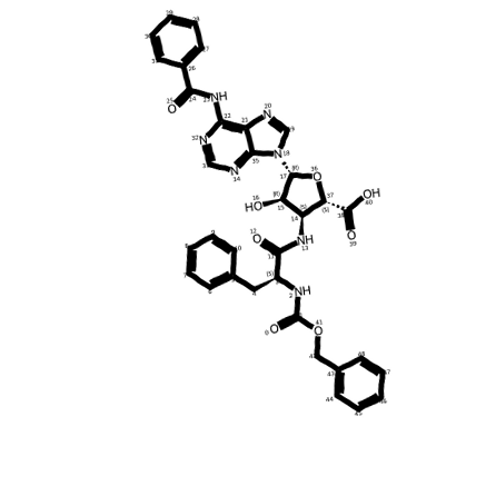 O=C(N[C@@H](Cc1ccccc1)C(=O)N[C@H]1[C@@H](O)[C@H](n2cnc3c(NC(=O)c4ccccc4)ncnc32)O[C@@H]1C(=O)O)OCc1ccccc1